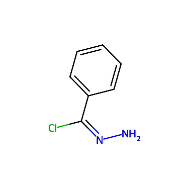 N/N=C(/Cl)c1ccccc1